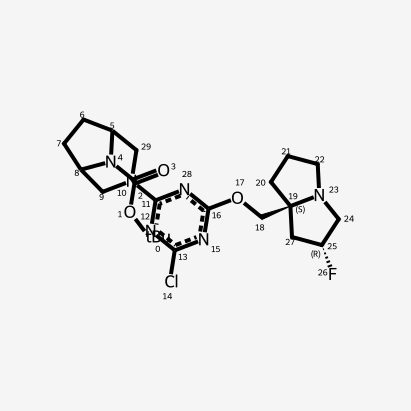 CC(C)(C)OC(=O)N1C2CCC1CN(c1nc(Cl)nc(OC[C@@]34CCCN3C[C@H](F)C4)n1)C2